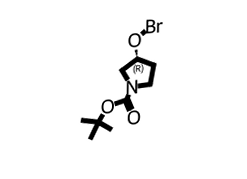 CC(C)(C)OC(=O)N1CC[C@@H](OBr)C1